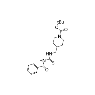 CC(C)(C)OC(=O)N1CCC(CNC(=S)NC(=O)c2ccccc2)CC1